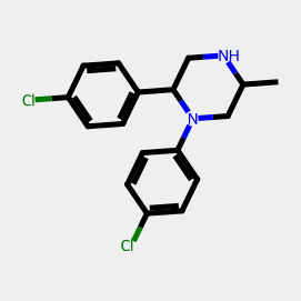 CC1CN(c2ccc(Cl)cc2)C(c2ccc(Cl)cc2)CN1